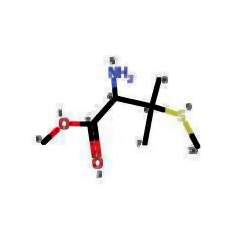 COC(=O)C(N)C(C)(C)SC